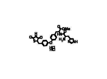 COC(=O)C(Cc1ccc(Oc2ccc(CC3SC(=O)NC3=O)cc2)cc1)NC(=O)C(N)Cc1c[nH]cn1.Cl.Cl